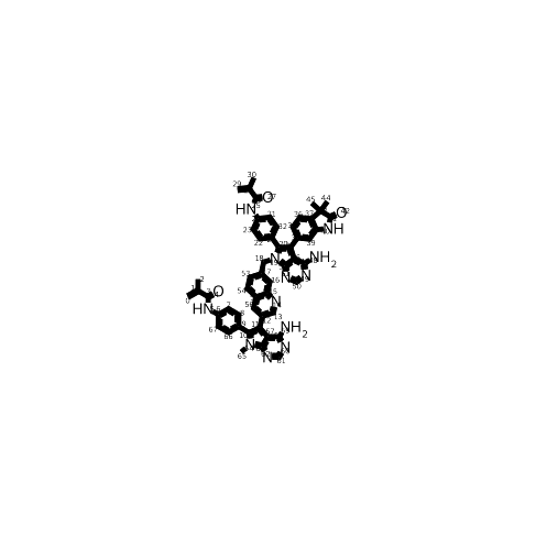 C=C(C)C(=O)Nc1ccc(-c2c(-c3cnc4cc(Cn5c(-c6ccc(NC(=O)C(=C)C)cc6)c(-c6ccc7c(c6)NC(=O)C7(C)C)c6c(N)ncnc65)ccc4c3)c3c(N)ncnc3n2C)cc1